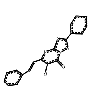 O=c1c(Cl)c(/C=C/c2ccccc2)nc2sc(-c3ccccc3)nn12